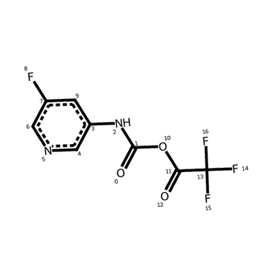 O=C(Nc1cncc(F)c1)OC(=O)C(F)(F)F